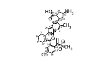 Cc1cn2nc([C@@H]3CCCCN3C(=O)c3cc(Cl)ccc3NS(C)(=O)=O)cc2cc1C1C[C@H](N)C[C@@H]1C(=O)O